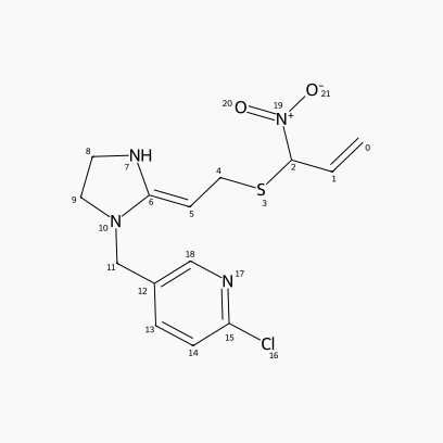 C=CC(SCC=C1NCCN1Cc1ccc(Cl)nc1)[N+](=O)[O-]